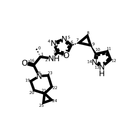 C[C@H](Nc1nnc([C@@H]2C[C@H]2c2cc[nH]n2)o1)C(=O)N1CCC2(CC1)CC2